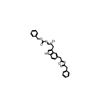 CC[C@@H](C=NC(=O)OCc1ccccc1)Cc1c[nH]c2ccc(Cc3nc(Cc4ccccc4)no3)cc12